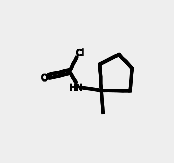 CC1(NC(=O)Cl)CCCC1